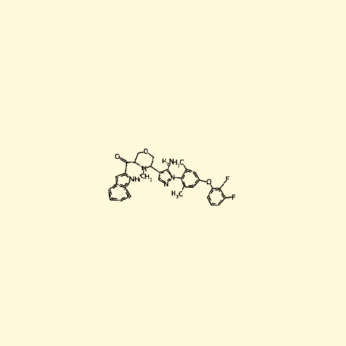 Cc1cc(Oc2cccc(F)c2F)cc(C)c1-n1ncc(C2COCC(C(=O)c3cc4ccccc4[nH]3)N2C)c1N